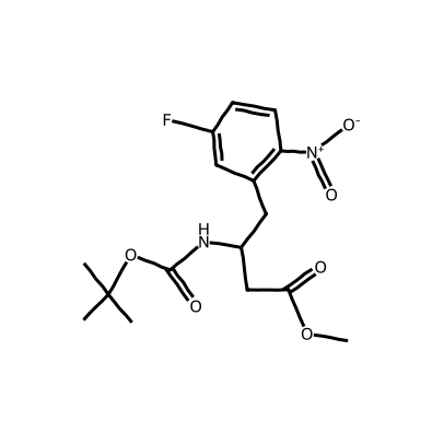 COC(=O)CC(Cc1cc(F)ccc1[N+](=O)[O-])NC(=O)OC(C)(C)C